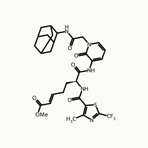 COC(=O)/C=C/CC[C@H](NC(=O)c1sc(C(F)(F)F)nc1C)C(=O)Nc1cccn(CC(=O)NC2C3CC4CC(C3)CC2C4)c1=O